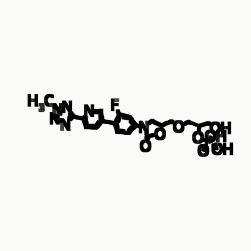 Cn1nnc(-c2ccc(-c3ccc(N4CC(COC[C@@H](CO)OP(=O)(O)O)OC4=O)cc3F)cn2)n1